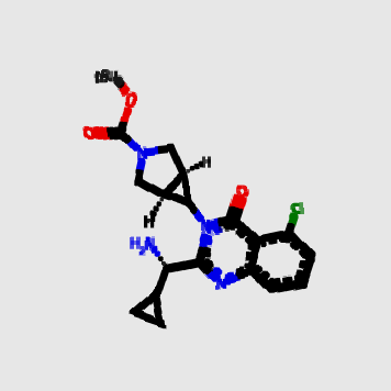 CC(C)(C)OC(=O)N1C[C@@H]2C(n3c([C@@H](N)C4CC4)nc4cccc(Cl)c4c3=O)[C@@H]2C1